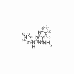 Cc1c2c(nc3nc(NC4CCN(C)CC4)nc(N)c13)CCC2